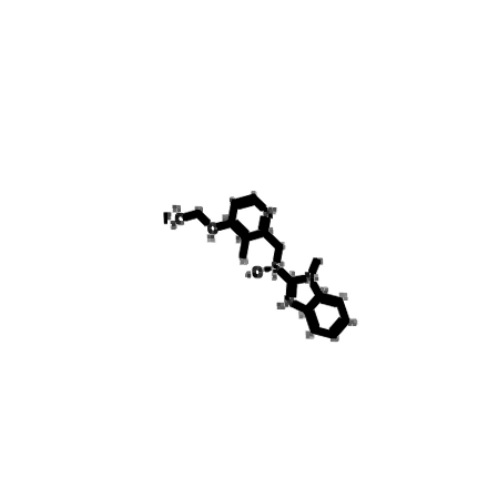 [CH2]n1c([S@+]([O-])Cc2nccc(OCC(F)(F)F)c2C)nc2ccccc21